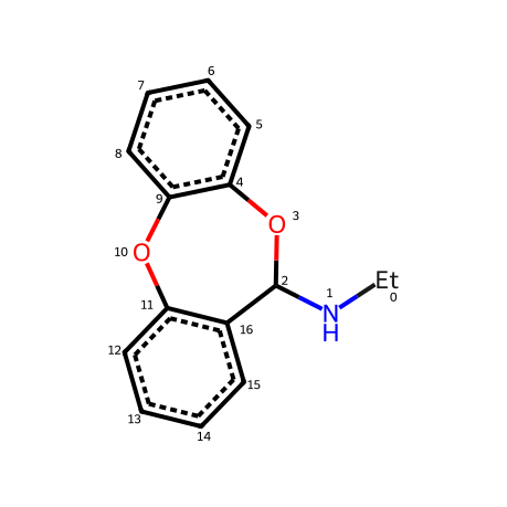 CCNC1Oc2ccccc2Oc2ccccc21